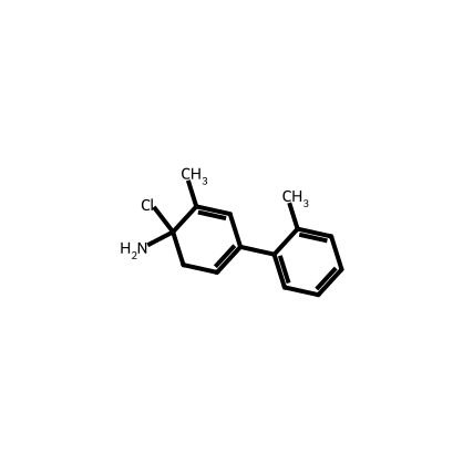 CC1=CC(c2ccccc2C)=CCC1(N)Cl